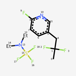 CC(F)(F)Cc1ccc(F)nc1.CCN(CC)S(F)(F)F